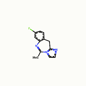 CSC1=Nc2cc(F)ccc2Cc2nccn21